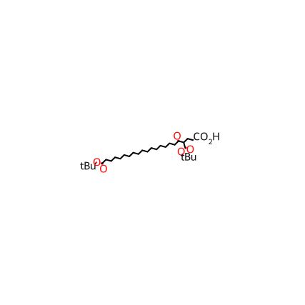 CC(C)(C)OC(=O)CCCCCCCCCCCCCCCCC(=O)C(CCC(=O)O)C(=O)OC(C)(C)C